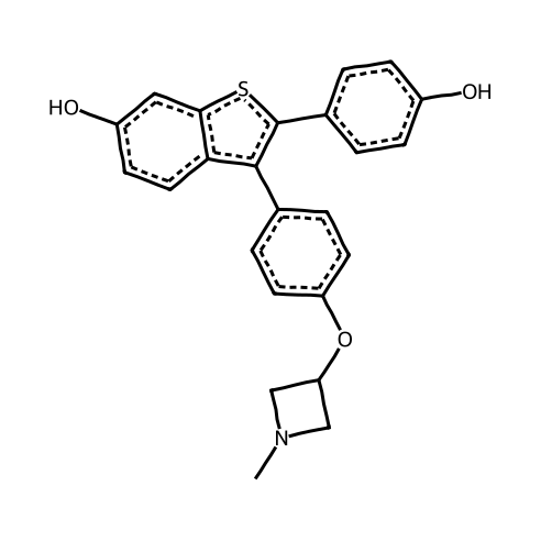 CN1CC(Oc2ccc(-c3c(-c4ccc(O)cc4)sc4cc(O)ccc34)cc2)C1